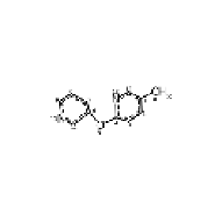 Cc1ccc(Oc2cccnc2)nc1